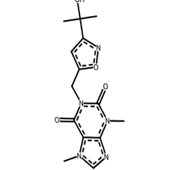 Cn1cnc2c1c(=O)n(Cc1cc(C(C)(C)O)no1)c(=O)n2C